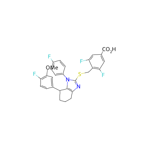 COc1cc(C2CCCc3nc(SCc4c(F)cc(C(=O)O)cc4F)n(-c4ccc(F)cc4)c32)ccc1F